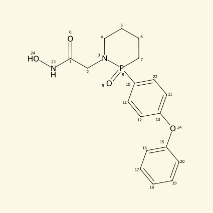 O=C(CN1CCCCP1(=O)c1ccc(Oc2ccccc2)cc1)NO